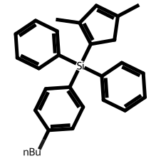 CCCCc1ccc([Si](C2=C(C)C=C(C)C2)(c2ccccc2)c2ccccc2)cc1